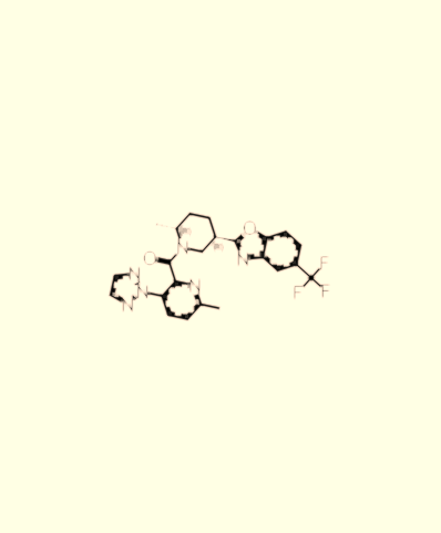 Cc1ccc(-n2nccn2)c(C(=O)N2C[C@H](c3nc4cc(C(F)(F)F)ccc4o3)CC[C@H]2C)n1